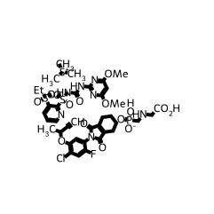 C#CC(C)Oc1cc(N2C(=O)C3=C(CCCC3)C2=O)c(F)cc1Cl.CCS(=O)(=O)c1cccnc1S(=O)(=O)NC(=O)Nc1nc(OC)cc(OC)n1.C[S+](C)C.O=C(O)CNCP(=O)([O-])O